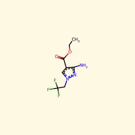 CCOC(=O)c1cn(CC(F)(F)F)nc1N